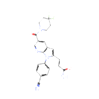 N#Cc1ccc(-n2c(CCC(N)=O)cc3cc(C(=O)N4CCC(F)(F)CC4)cnc32)cc1